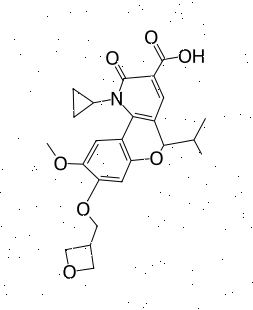 COc1cc2c(cc1OCC1COC1)OC(C(C)C)c1cc(C(=O)O)c(=O)n(C3CC3)c1-2